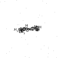 CN(C)S(=O)(=O)c1ccc(NC(=O)C=CN2CCN(c3nc[nH]c4nccc3-4)CC2)cc1